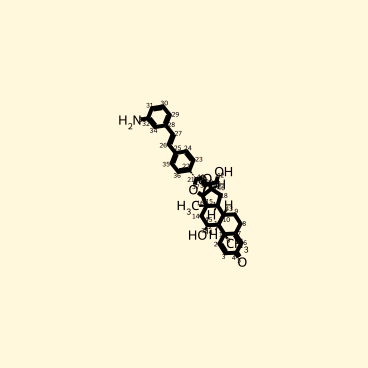 C[C@]12C=CC(=O)C=C1CC[C@@H]1[C@@H]2[C@@H](O)C[C@@]2(C)[C@H]1C[C@H]1O[C@@H](c3ccc(/C=C/c4cccc(N)c4)cc3)O[C@]12C(=O)CO